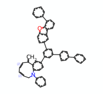 C=C1/C=C\C=C/CN(c2ccccc2)c2ccc(-c3cc(-c4ccc(-c5ccccc5)cc4)cc(-c4ccc5oc6c(-c7ccccc7)cccc6c5c4)c3)cc21